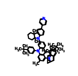 Cc1cc2c3c(c1)N(C14C=CC(C(C)(C)C)=CC1C4)c1ccc(C(C)(C)C)cc1B3c1ccc(N3c4ccc(-c5ccncc5)cc4C4(C)CCCCC34C)cc1N2c1ccc(C(C)(C)C)cc1